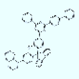 c1ccc(-c2ccc(-c3nc(-c4ccccc4)nc(-c4ccc5c(c4)Sc4cc(-c6cccc7cccnc67)ccc4C54c5ccccc5-c5ccccc54)n3)cc2)cc1